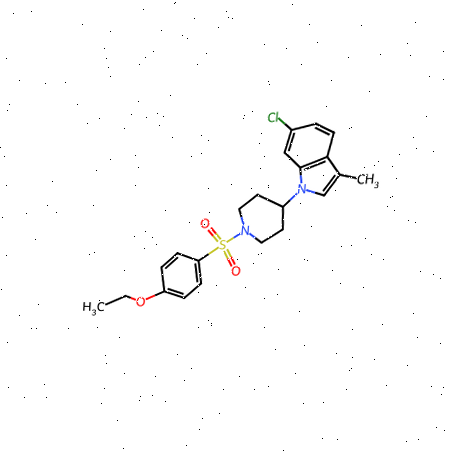 CCOc1ccc(S(=O)(=O)N2CCC(n3cc(C)c4ccc(Cl)cc43)CC2)cc1